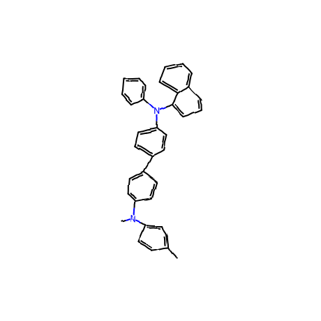 Cc1ccc(N(C)c2ccc(-c3ccc(N(c4ccccc4)c4cccc5ccccc45)cc3)cc2)cc1